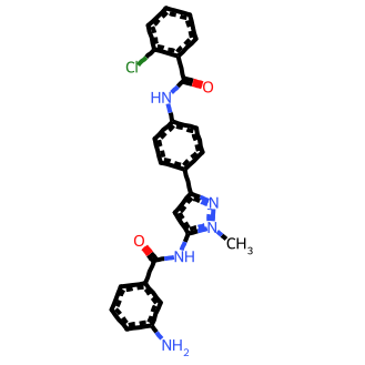 Cn1nc(-c2ccc(NC(=O)c3ccccc3Cl)cc2)cc1NC(=O)c1cccc(N)c1